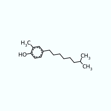 Cc1cc(CCCCCCC(C)C)ccc1O